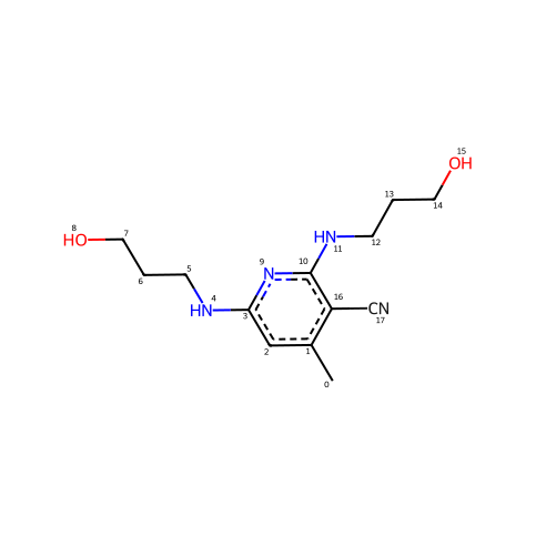 Cc1cc(NCCCO)nc(NCCCO)c1C#N